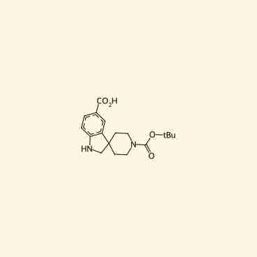 CC(C)(C)OC(=O)N1CCC2(CC1)CNc1ccc(C(=O)O)cc12